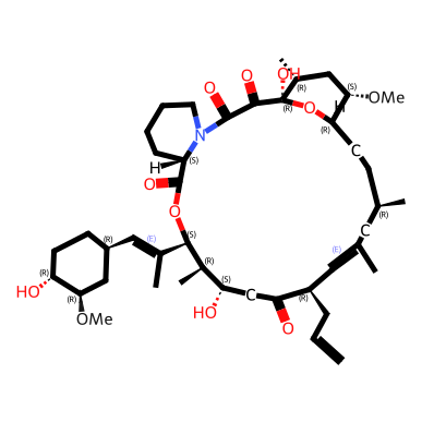 C=CC[C@@H]1/C=C(\C)C[C@H](C)CC[C@H]2O[C@@](O)(C(=O)C(=O)N3CCCC[C@H]3C(=O)O[C@H](/C(C)=C/[C@@H]3CC[C@@H](O)[C@H](OC)C3)[C@H](C)[C@@H](O)CC1=O)[C@H](C)C[C@@H]2OC